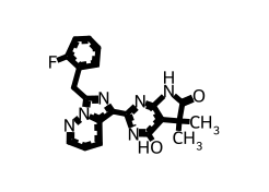 CC1(C)C(=O)Nc2nc(-c3nc(Cc4ccccc4F)n4ncccc34)nc(O)c21